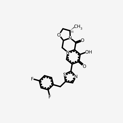 C[C@H]1COC2Cn3cc(-c4ncc(Cc5ccc(F)cc5F)s4)c(=O)c(O)c3C(=O)N21